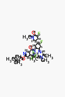 C[C@@H]1CN(c2cc(F)c(-c3cc(F)c(=O)n(C)c3)cc2NC(=O)c2cnc(OCC[Si](C)(C)C)cc2C(F)(F)F)C[C@H](C)N1C